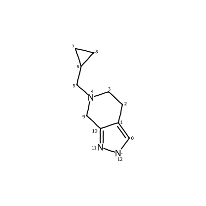 C1=C2CCN(CC3CC3)CC2=N[N]1